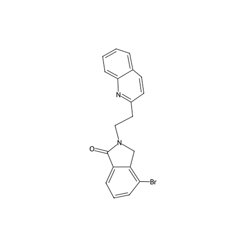 O=C1c2cccc(Br)c2CN1CCc1ccc2ccccc2n1